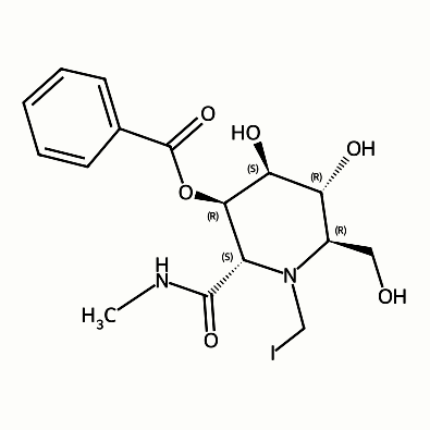 CNC(=O)[C@@H]1[C@@H](OC(=O)c2ccccc2)[C@@H](O)[C@H](O)[C@@H](CO)N1CI